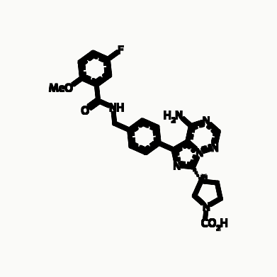 COc1ccc(F)cc1C(=O)NCc1ccc(-c2nc([C@@H]3CCN(C(=O)O)C3)n3ncnc(N)c23)cc1